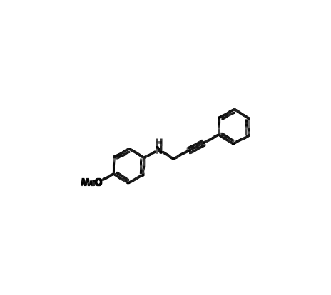 COc1ccc(NCC#Cc2ccccc2)cc1